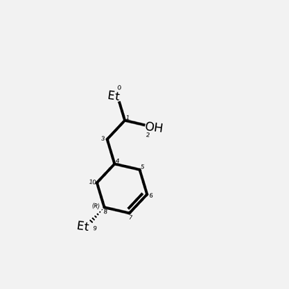 CCC(O)CC1CC=C[C@H](CC)C1